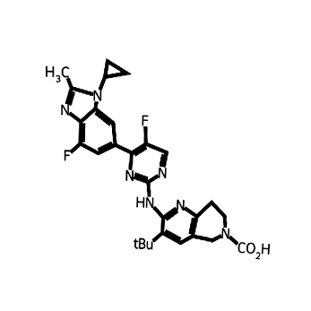 Cc1nc2c(F)cc(-c3nc(Nc4nc5c(cc4C(C)(C)C)CN(C(=O)O)CC5)ncc3F)cc2n1C1CC1